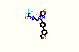 O=C(N1CC(CN2C(=O)C3(CCOCC3)N=C2c2ccc(-c3ccc4occc4c3)cc2)C1)C(F)(F)F